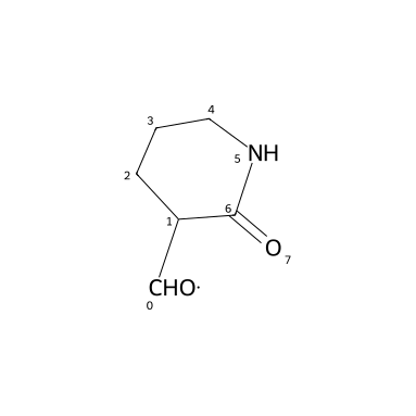 O=[C]C1CCCNC1=O